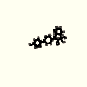 Cc1ccc(N2CCC(N3C(=O)C(C)(C)c4cccnc43)CC2)nc1